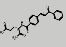 NC(=O)[C@H](CCC(=O)O)NC(=O)c1ccc(/C=C/C(=O)c2ccccc2)cc1